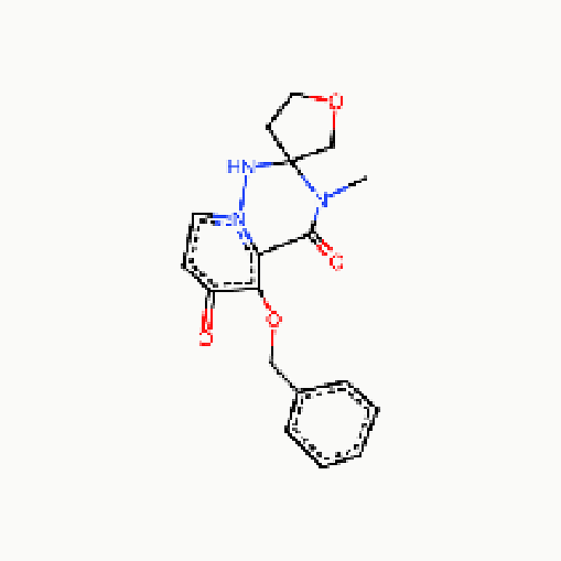 CN1C(=O)c2c(OCc3ccccc3)c(=O)ccn2NC12CCOC2